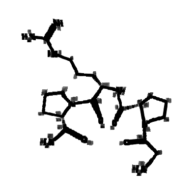 N=C(N)NCCC[C@H](NC(=O)[C@@H]1CCCN1C(=O)CN)C(=O)N1CCC[C@H]1C(N)=O